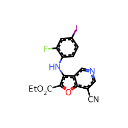 CCOC(=O)c1oc2c(C#N)cncc2c1Nc1ccc(I)cc1F